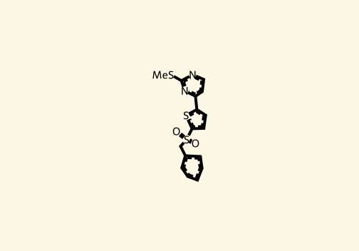 CSc1nccc(-c2ccc(S(=O)(=O)Cc3ccccc3)s2)n1